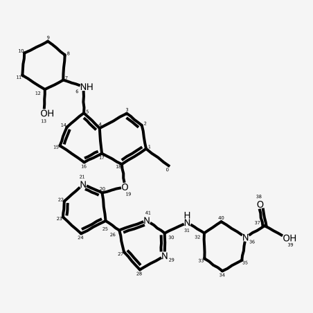 Cc1ccc2c(NC3CCCCC3O)cccc2c1Oc1ncccc1-c1ccnc(NC2CCCN(C(=O)O)C2)n1